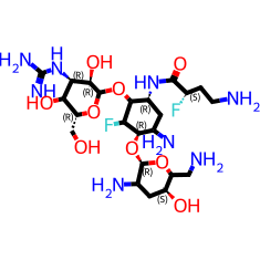 N=C(N)N[C@@H]1C(O)[C@@H](CO)OC(OC2C(F)[C@H](O[C@H]3OC(CN)[C@@H](O)CC3N)C(N)C[C@H]2NC(=O)[C@@H](F)CCN)[C@@H]1O